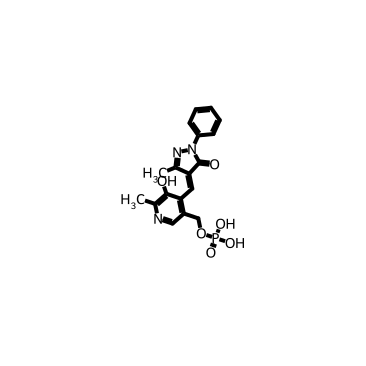 CC1=NN(c2ccccc2)C(=O)C1=Cc1c(COP(=O)(O)O)cnc(C)c1O